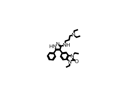 CCN(CC)CCCNc1n[nH]c(-c2ccccc2)c1-c1ccc2c(c1)n(CC)c(=O)n2CC